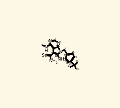 CNc1ncnc2c1c(C(N)=[Se])c(N)n2Cc1ccc(C(C)(C)C)cc1